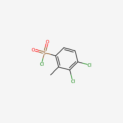 Cc1c(S(=O)(=O)Cl)ccc(Cl)c1Cl